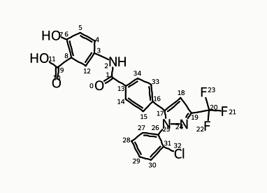 O=C(Nc1ccc(O)c(C(=O)O)c1)c1ccc(-c2cc(C(F)(F)F)nn2-c2ccccc2Cl)cc1